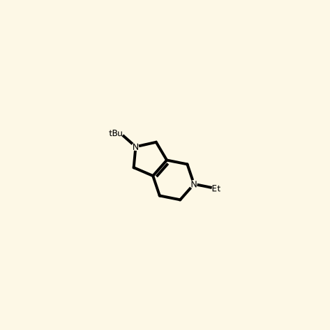 CCN1CCC2=C(C1)CN(C(C)(C)C)C2